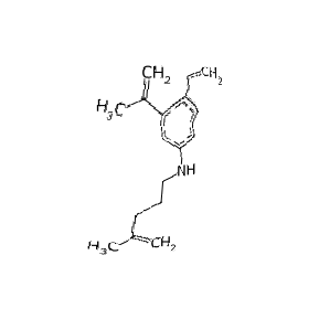 C=Cc1ccc(NCCCC(=C)C)cc1C(=C)C